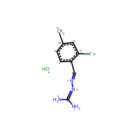 Cl.NC(N)=NN=Cc1ccc(C(F)(F)F)cc1F